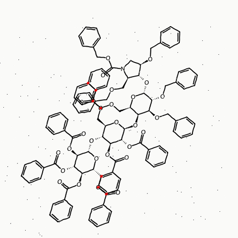 O=C(OC[C@H]1O[C@@H](O[C@H]2[C@H](OC(=O)c3ccccc3)[C@@H](OC(=O)c3ccccc3)[C@H](O[C@@H]3[C@H](OCc4ccccc4)[C@@H](OCc4ccccc4)[C@@H](O[C@@H]4[C@@H](COCc5ccccc5)N(C(=O)OCc5ccccc5)C[C@H]4OCc4ccccc4)O[C@@H]3COCc3ccccc3)O[C@@H]2COC(=O)c2ccccc2)[C@H](OC(=O)c2ccccc2)[C@@H](OC(=O)c2ccccc2)[C@@H]1OC(=O)c1ccccc1)c1ccccc1